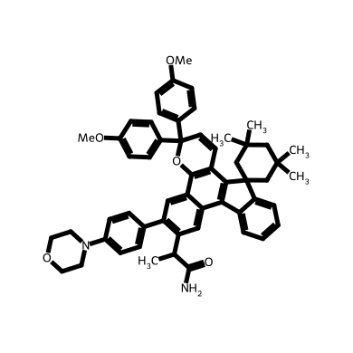 COc1ccc(C2(c3ccc(OC)cc3)C=Cc3c4c(c5cc(C(C)C(N)=O)c(-c6ccc(N7CCOCC7)cc6)cc5c3O2)-c2ccccc2C42CC(C)(C)CC(C)(C)C2)cc1